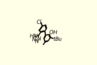 Cc1cc(-c2ccc(Cl)cc2-c2nnn[nH]2)c(O)c(C(C)(C)C)c1